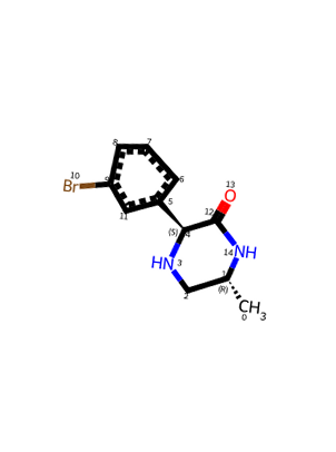 C[C@@H]1CN[C@@H](c2cccc(Br)c2)C(=O)N1